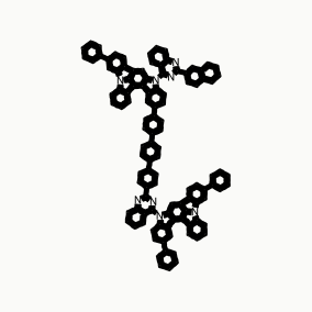 c1ccc(-c2ccc3c(c2)c2c4c5ccccc5n5c6cc(-c7ccccc7)ccc6c(cc2n3-c2nc(-c3ccc(-c6ccc(-c7ccc(-c8ccc9c(c8)c8c%10c%11ccccc%11n%11c%12cc(-c%13ccccc%13)ccc%12c(cc8n9-c8nc(-c9ccc%12ccccc%12c9)nc9ccccc89)c%10%11)cc7)cc6)cc3)nc3ccccc23)c45)cc1